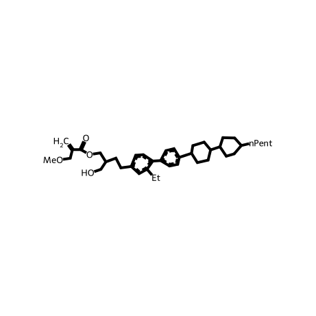 C=C(COC)C(=O)OCC(CO)CCc1ccc(-c2ccc(C3CCC(C4CCC(CCCCC)CC4)CC3)cc2)c(CC)c1